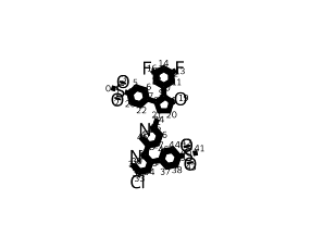 CS(=O)(=O)c1ccc(C2=C(c3cc(F)cc(F)c3)C(=O)CC2)cc1.Cc1ccc(-c2ncc(Cl)cc2-c2ccc(S(C)(=O)=O)cc2)cn1